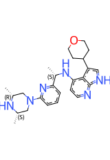 C[C@@H]1CN(c2cccc([C@H](C)Nc3ccnc4[nH]cc(C5CCOCC5)c34)n2)C[C@H](C)N1